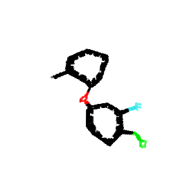 [CH2]c1ccccc1Oc1ccc(Cl)c(F)c1